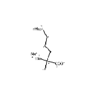 CCCCCCCCCCC(C)(C(=O)[O-])C(C)(C)C.[Na+]